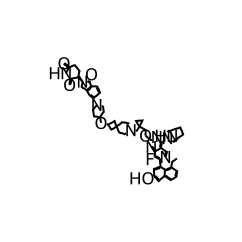 CCc1cccc2cc(O)cc(-c3ncc4c(N5CC6CCC(C5)N6)nc(OCC5(CN6CCC7(CC6)CC(OC6CCN(c8ccc9c(c8)CN(C8CCC(=O)NC8=O)C9=O)CC6)C7)CC5)nc4c3F)c12